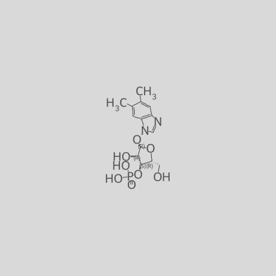 Cc1cc2ncn(O[C@H]3O[C@H](CO)[C@@H](OP(=O)(O)O)[C@H]3O)c2cc1C